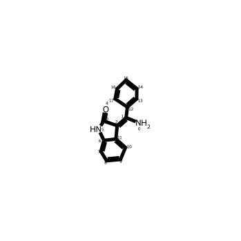 NC(=C1C(=O)Nc2ccccc21)c1ccccc1